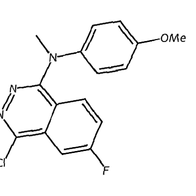 COc1ccc(N(C)c2nnc(Cl)c3cc(F)ccc23)cc1